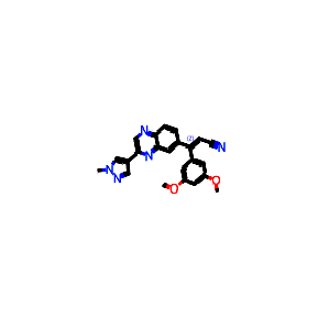 COc1cc(OC)cc(/C(=C\C#N)c2ccc3ncc(-c4cnn(C)c4)nc3c2)c1